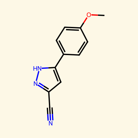 COc1ccc(-c2cc(C#N)n[nH]2)cc1